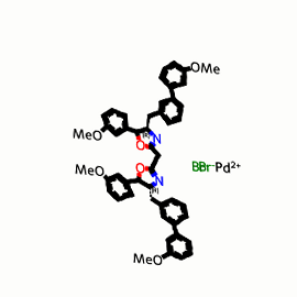 COc1cccc(-c2cccc(C[C@H]3N=C(CC4=N[C@H](Cc5cccc(-c6cccc(OC)c6)c5)C(c5cccc(OC)c5)O4)OC3c3cccc(OC)c3)c2)c1.[Br-].[Br-].[Pd+2]